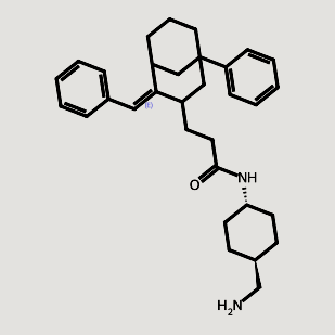 NC[C@H]1CC[C@H](NC(=O)CCC2CC3(c4ccccc4)CCCC(C3)/C2=C\c2ccccc2)CC1